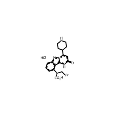 CC(C)CN(C(=O)O)c1cccc2nn3c(C4CCNCC4)cc(=O)[nH]c3c12.Cl